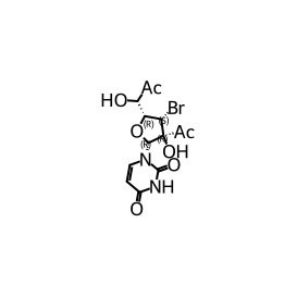 CC(=O)C(O)[C@H]1O[C@@H](n2ccc(=O)[nH]c2=O)[C@@](O)(C(C)=O)[C@H]1Br